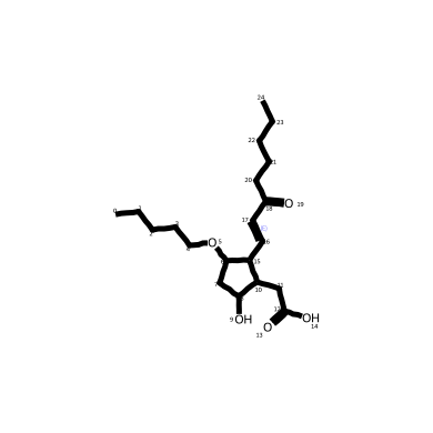 CCCCCOC1CC(O)C(CC(=O)O)C1/C=C/C(=O)CCCCC